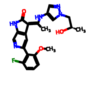 COc1cccc(F)c1-c1cc2c(cn1)NC(=O)/C2=C(/C)Nc1cnn(C[C@H](C)O)c1